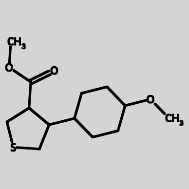 COC(=O)C1CSCC1C1CCC(OC)CC1